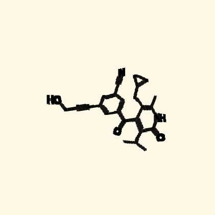 Cc1[nH]c(=O)c(C(C)C)c(C(=O)c2cc(C#N)cc(C#CCO)c2)c1CC1CC1